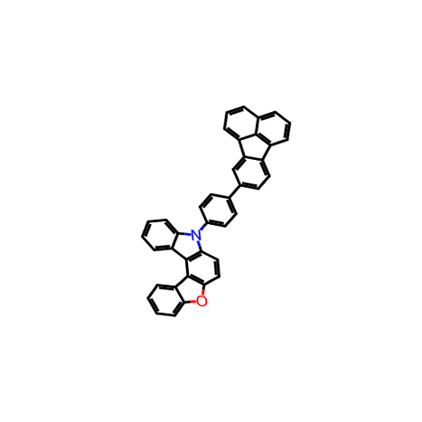 c1cc2c3c(cccc3c1)-c1cc(-c3ccc(-n4c5ccccc5c5c6c(ccc54)oc4ccccc46)cc3)ccc1-2